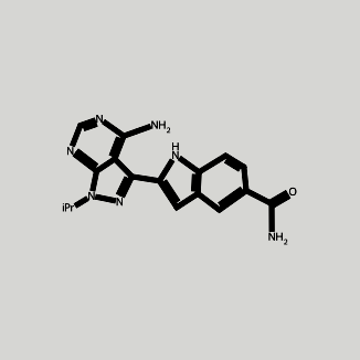 CC(C)n1nc(-c2cc3cc(C(N)=O)ccc3[nH]2)c2c(N)ncnc21